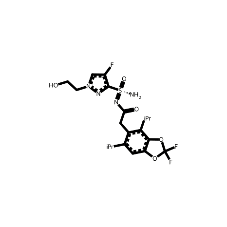 CC(C)c1cc2c(c(C(C)C)c1CC(=O)N=[S@](N)(=O)c1nn(CCO)cc1F)OC(F)(F)O2